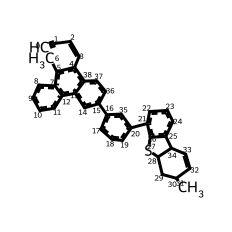 C#C/C=C\c1c(C)c2ccccc2c2cc(-c3cccc(-c4cccc5c4SC4CC(C)C=CC54)c3)ccc12